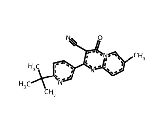 Cc1ccc2nc(-c3ccc(C(C)(C)C)nc3)c(C#N)c(=O)n2c1